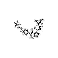 COc1ccc(NC(=O)c2cnn3c2C(=O)N(c2ccc(COCCC(F)(F)F)cc2)[C@@H](C)C3)cc1C#N